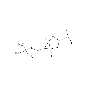 CC(C)(C)OC[C@@H]1[C@H]2CN(C(F)F)C[C@@H]12